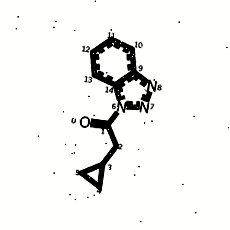 O=C(CC1CC1)n1nnc2ccccc21